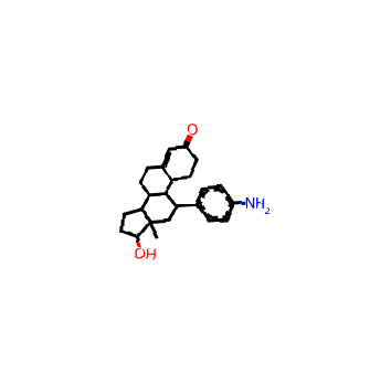 CC12CC(c3ccc(N)cc3)C3C4CCC(=O)C=C4CCC3C1CCC2O